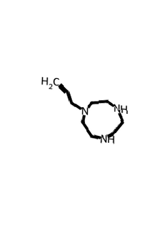 C=CCN1CCNCCNCC1